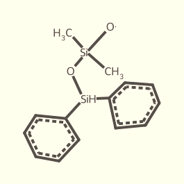 C[Si](C)([O])O[SiH](c1ccccc1)c1ccccc1